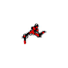 CCCCCCCCC(CC)OC(=O)CCCCCC(O)CN(CCCOC(c1ccccc1)(c1ccccc1)c1ccc(OC)cc1)CC(O)CCCCCC(=O)OC(CC)CCCCCCCC